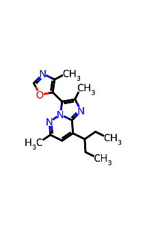 CCC(CC)c1cc(C)nn2c(-c3ocnc3C)c(C)nc12